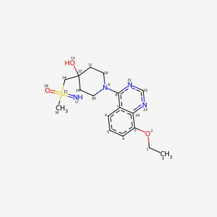 CCOc1cccc2c(N3CCC(O)(CS(C)(=N)=O)CC3)ncnc12